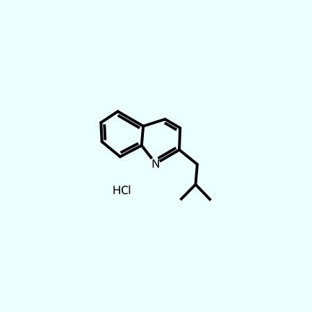 CC(C)Cc1ccc2ccccc2n1.Cl